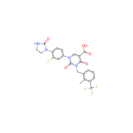 Cc1c(Cn2c(=O)c(C(=O)O)cn(-c3ccc(N4CCNC4=O)c(F)c3)c2=O)cccc1C(F)(F)F